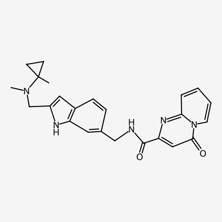 CN(Cc1cc2ccc(CNC(=O)c3cc(=O)n4ccccc4n3)cc2[nH]1)C1(C)CC1